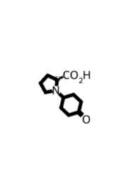 O=C1CCC(N2CCC[C@H]2C(=O)O)CC1